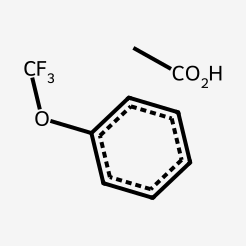 CC(=O)O.FC(F)(F)Oc1ccccc1